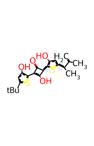 C=C(C)/C(C)=c1\cc(O)/c(=C2\C(=O)C(c3sc(C(C)(C)C)cc3O)=C2O)s1